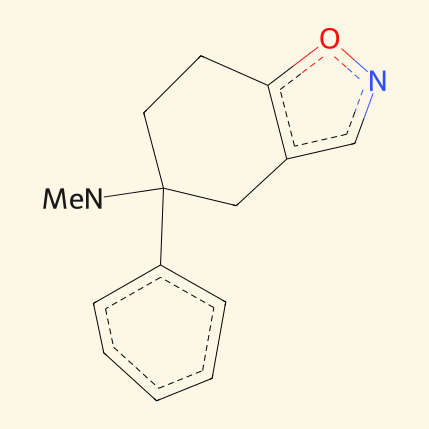 CNC1(c2ccccc2)CCc2oncc2C1